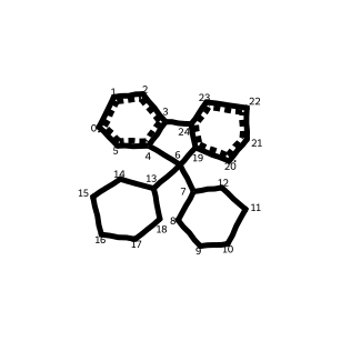 [c]1ccc2c(c1)C(C1CCCCC1)(C1CCCCC1)c1[c]cccc1-2